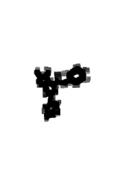 Cc1sc2nc(-n3cncn3)nc(NCc3ccccc3)c2c1C